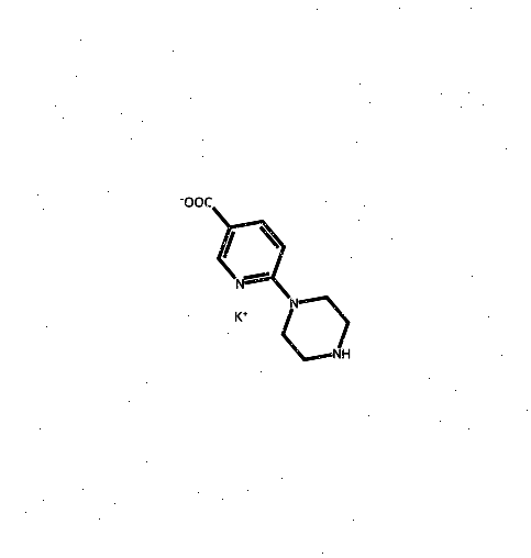 O=C([O-])c1ccc(N2CCNCC2)nc1.[K+]